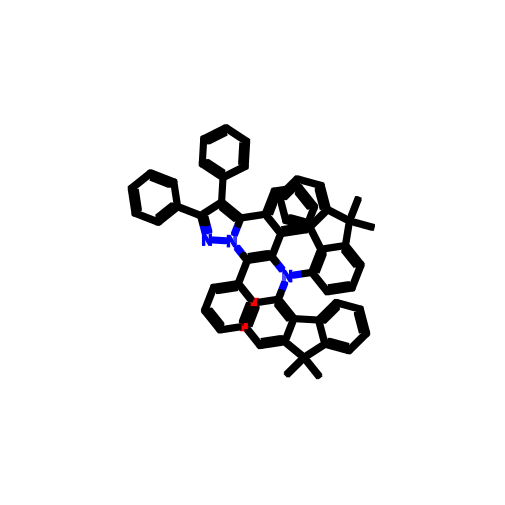 CC1(C)c2ccccc2-c2c(N(c3cccc4c3-c3ccccc3C4(C)C)c3c(-c4ccccc4)n4nc(-c5ccccc5)c(-c5ccccc5)c4c4ccccc34)cccc21